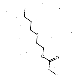 [CH2]CC(=O)OCCSCCCC